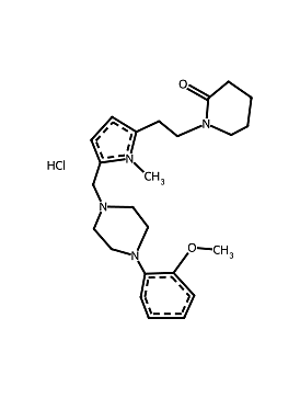 COc1ccccc1N1CCN(Cc2ccc(CCN3CCCCC3=O)n2C)CC1.Cl